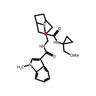 COCC1(NC(=O)CN2C3CCC2CC(CNC(=O)c2cn(C)c4ccccc24)C3)CC1